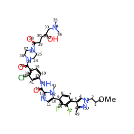 COCCn1cc(-c2ccc(-c3cnc(C(=O)Nc4ccc(C(=O)N5CCN(C(=O)CC[C@@H](O)CN(C)C)CC5)c(Cl)c4)n3C)c(F)c2F)c(C)n1